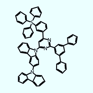 c1ccc(-c2cc(-c3ccccc3)cc(-c3nc(-c4cccc(S(c5ccccc5)(c5ccccc5)c5ccccc5)c4)cc(-n4c5ccccc5c5cc(-n6c7ccccc7c7ccccc76)ccc54)n3)c2)cc1